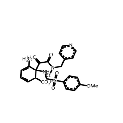 C=C(C(=O)N(CC)Cc1ccncc1)C1(NCS(=O)(=O)c2ccc(OC)cc2)C(C)=CC=CC1C(=O)O